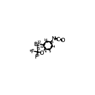 O=C=Nc1ccc(OC(F)(F)F)c(Br)c1